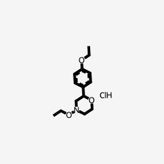 CCOc1ccc(C2CN(OCC)CCO2)cc1.Cl